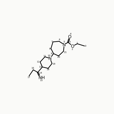 CCOC(=O)N1CCCC(N2CCC(C(=N)CC)CC2)CC1